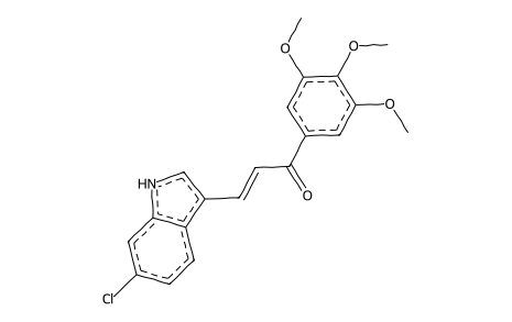 COc1cc(C(=O)C=Cc2c[nH]c3cc(Cl)ccc23)cc(OC)c1OC